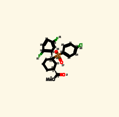 COC(=O)[C@@H]1CCC[C@@](c2cc(F)ccc2F)(S(=O)(=O)c2ccc(Cl)cc2)C1